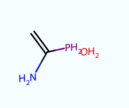 C=C(N)P.O